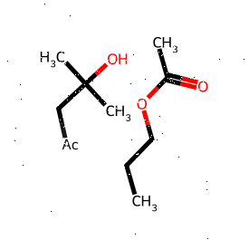 CC(=O)CC(C)(C)O.CCCOC(C)=O